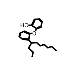 CCCCCCC(CCC)c1ccccc1Oc1ccccc1O